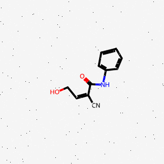 N#C/C(=C/CO)C(=O)Nc1ccccc1